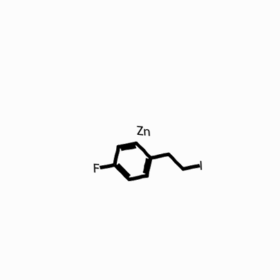 Fc1ccc(CCI)cc1.[Zn]